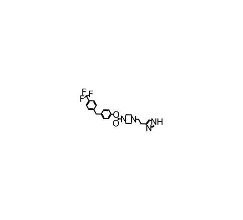 O=C(Oc1ccc(Cc2ccc(C(F)(F)F)cc2)cc1)N1CCN(CCc2c[nH]cn2)CC1